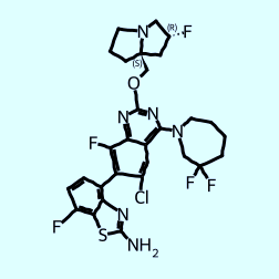 Nc1nc2c(-c3c(Cl)cc4c(N5CCCCC(F)(F)C5)nc(OC[C@@]56CCCN5C[C@H](F)C6)nc4c3F)ccc(F)c2s1